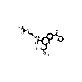 CC(N)CC1=Nc2cc(C(=O)N3CCCC3)ccc2C=C(C(=O)NOCCOC(N)=O)C1